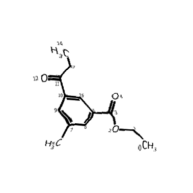 CCOC(=O)c1cc(C)cc(C(=O)CC)c1